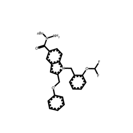 CCCCN(N)C(=O)c1ccc2c(c1)cc(COc1ccccc1)n2Cc1ccccc1OC(F)F